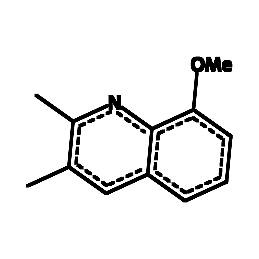 COc1cccc2cc(C)c(C)nc12